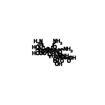 CC(C)C[C@H](NC(=O)[C@H](CCCCN)NC(=O)[C@H](CCCCN)NC(=O)[C@@H](NC(=O)[C@H](CC(=O)O)NC(=O)[C@@H](N)CCC(=O)O)C(C)C)C(=O)N[C@@H](CCCCN)C(=O)N[C@H](C(=O)O)[C@@H](C)O